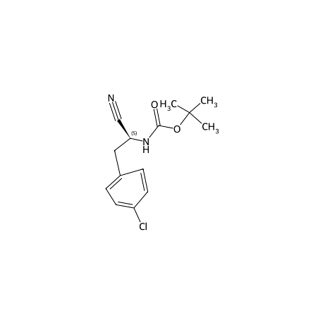 CC(C)(C)OC(=O)N[C@H](C#N)Cc1ccc(Cl)cc1